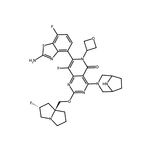 Nc1nc2c(-c3c(F)c4nc(OC[C@@]56CCCN5C[C@H](F)C6)nc(N5CC6CCC(C5)N6)c4c(=O)n3C3COC3)ccc(F)c2s1